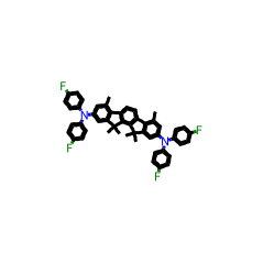 Cc1cc(N(c2ccc(F)cc2)c2ccc(F)cc2)cc2c1-c1ccc3c(c1C2(C)C)C(C)(C)c1cc(N(c2ccc(F)cc2)c2ccc(F)cc2)cc(C)c1-3